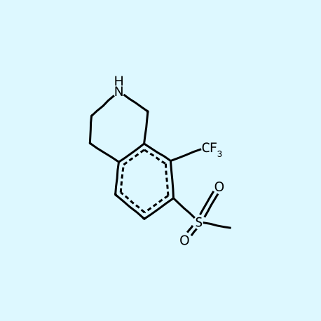 CS(=O)(=O)c1ccc2c(c1C(F)(F)F)CNCC2